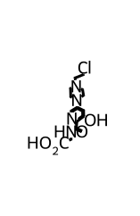 O=C(O)CNC(=O)c1ncc(N2CCN(CCCl)CC2)cc1O